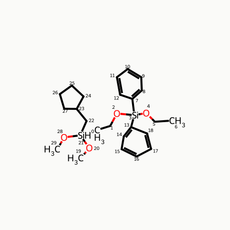 CCO[Si](OCC)(c1ccccc1)c1ccccc1.CO[SiH](CC1CCCC1)OC